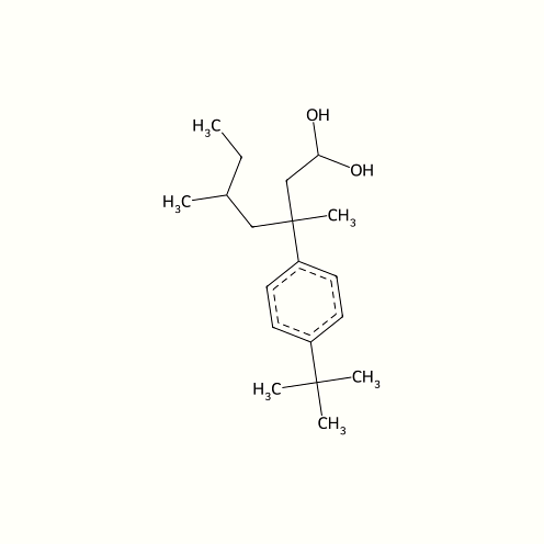 CCC(C)CC(C)(CC(O)O)c1ccc(C(C)(C)C)cc1